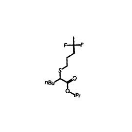 CCCCC(SCCCC(C)(F)F)C(=O)OC(C)C